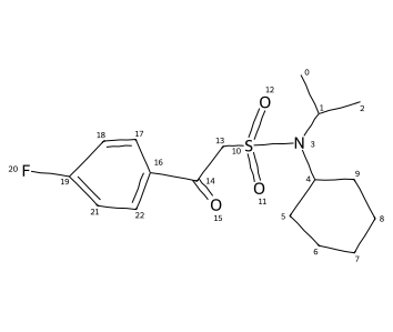 CC(C)N(C1CCCCC1)S(=O)(=O)CC(=O)c1ccc(F)cc1